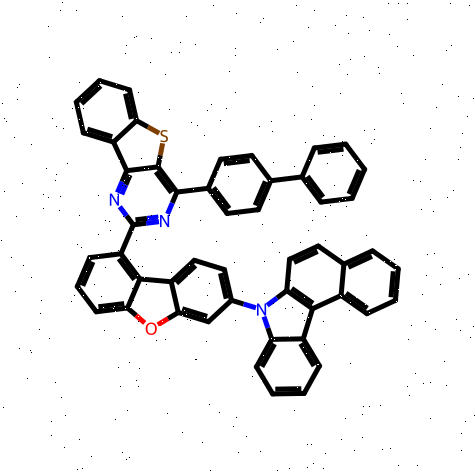 c1ccc(-c2ccc(-c3nc(-c4cccc5oc6cc(-n7c8ccccc8c8c9ccccc9ccc87)ccc6c45)nc4c3sc3ccccc34)cc2)cc1